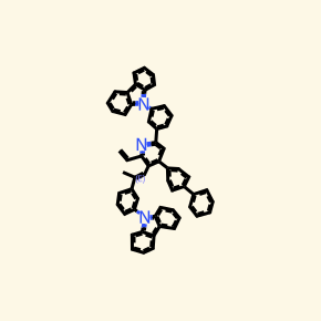 C=Cc1nc(-c2cccc(-n3c4ccccc4c4ccccc43)c2)cc(-c2ccc(-c3ccccc3)cc2)c1/C=C(\C)c1cccc(-n2c3ccccc3c3ccccc32)c1